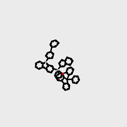 c1ccc(-c2ccc(-n3c4ccccc4c4ccc(N(c5ccc6c(c5)C(c5ccccc5)(c5ccccc5-c5ccccc5)c5ccccc5-6)c5ccc6ccccc6c5)cc43)cc2)cc1